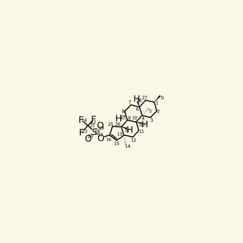 C[C@H]1CC[C@]2(C)[C@H](CC[C@H]3[C@H]2CC[C@@]2(C)C=C(OS(=O)(=O)C(F)(F)F)C[C@H]32)C1